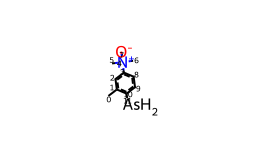 Cc1cc([N+](C)(C)[O-])ccc1[AsH2]